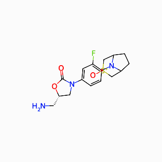 NC[C@H]1CN(c2ccc(N3C4CCC3C[S+]([O-])C4)c(F)c2)C(=O)O1